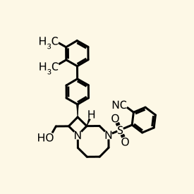 Cc1cccc(-c2ccc([C@@H]3C(CO)N4CCCCN(S(=O)(=O)c5ccccc5C#N)C[C@@H]34)cc2)c1C